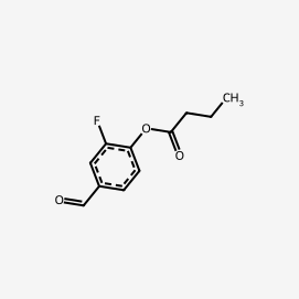 CCCC(=O)Oc1ccc(C=O)cc1F